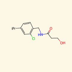 CC(C)c1ccc(CNC(=O)CCO)c(Cl)c1